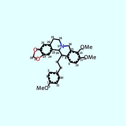 COc1ccc(CCC2c3ccc(OC)c(OC)c3CN3CCc4cc5c(cc4C23)OCO5)cc1